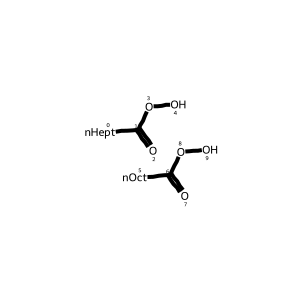 CCCCCCCC(=O)OO.CCCCCCCCC(=O)OO